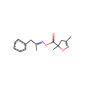 CC1=NOC(C)(C(=O)O/N=C(\C)Cc2ccccc2)C1